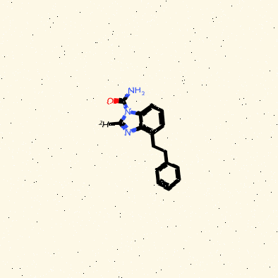 [2H]c1nc2c(CCc3ccccc3)cccc2n1C(N)=O